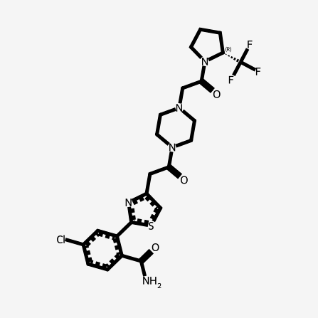 NC(=O)c1ccc(Cl)cc1-c1nc(CC(=O)N2CCN(CC(=O)N3CCC[C@@H]3C(F)(F)F)CC2)cs1